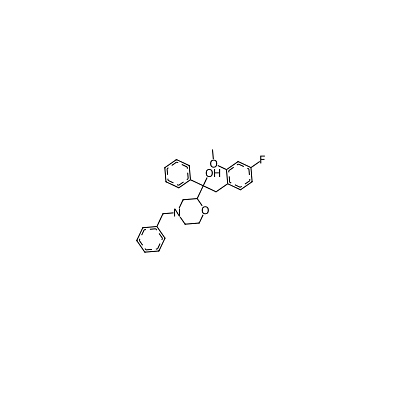 COc1cc(F)ccc1CC(O)(c1ccccc1)C1CN(Cc2ccccc2)CCO1